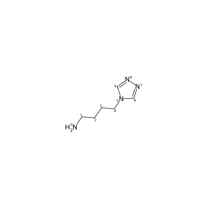 NCCCCn1cnnc1